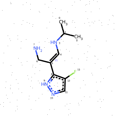 CC(C)N/C=C(\CN)c1[nH]ncc1F